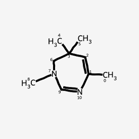 CC1=CC(C)(C)CN(C)C=N1